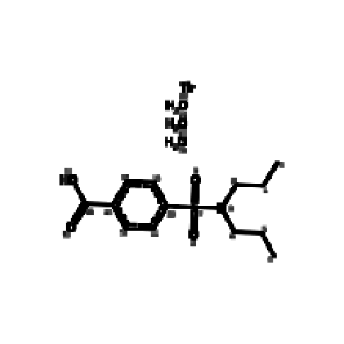 CCCN(CCC)S(=O)(=O)c1ccc(C(=O)O)cc1.O.O.O.[Tb]